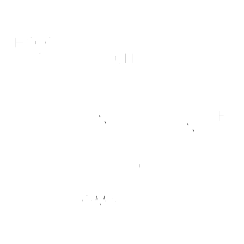 CCN1CCOC(n2c(C)c(C(=O)O)c3cccc(OC)c32)C1